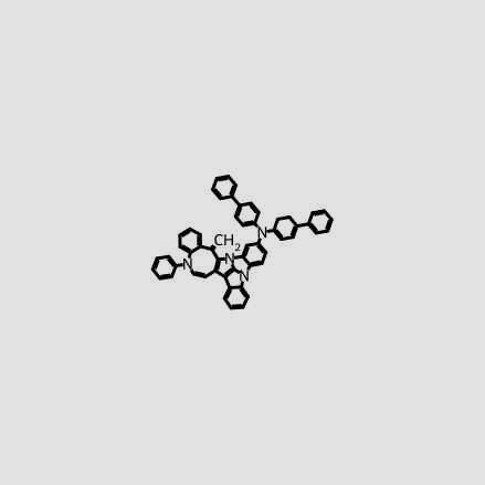 C=c1c2ccccc2n(-c2ccccc2)ccc2c3c4ccccc4n4c5ccc(N(C6=CC=C(c7ccccc7)CC6)c6ccc(-c7ccccc7)cc6)cc5n(c12)c34